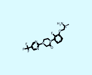 C[C@H](N)COc1cccc(N2CCN(c3ncc(C(F)(F)F)cn3)CC2=O)c1F